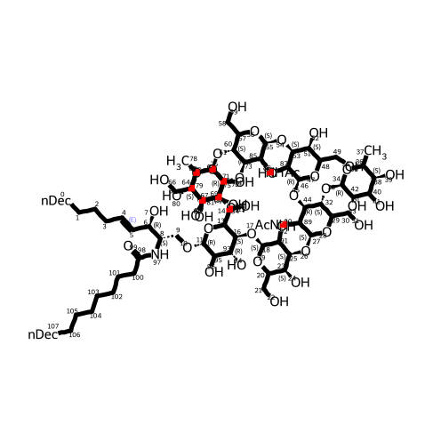 CCCCCCCCCCCCC/C=C/[C@@H](O)[C@H](CO[C@@H]1OC(CO)[C@@H](O[C@@H]2OC(CO)[C@H](O)[C@H](O[C@@H]3OC(CO)[C@@H](O[C@H]4OC(C)[C@@H](O)C(O)[C@@H]4O)[C@H](O[C@@H]4OC(CO)[C@H](O)[C@H](O[C@@H]5OC(CO)[C@@H](O[C@@H]6OC(CO)[C@H](O)[C@H](O)C6O)[C@H](O[C@H]6OC(C)[C@@H](O)C(O)[C@@H]6O)C5NC(C)=O)C4O)C3NC(C)=O)C2O)[C@H](O)C1O)NC(=O)CCCCCCCCCCCCCCCCC